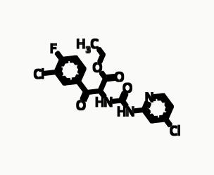 CCOC(=O)C(NC(=O)Nc1cc(Cl)ccn1)C(=O)c1ccc(F)c(Cl)c1